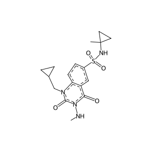 CNn1c(=O)c2cc(S(=O)(=O)NC3(C)CC3)ccc2n(CC2CC2)c1=O